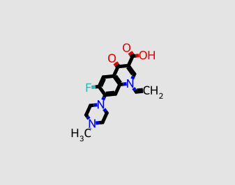 C=Cn1cc(C(=O)O)c(=O)c2cc(F)c(N3CCN(C)CC3)cc21